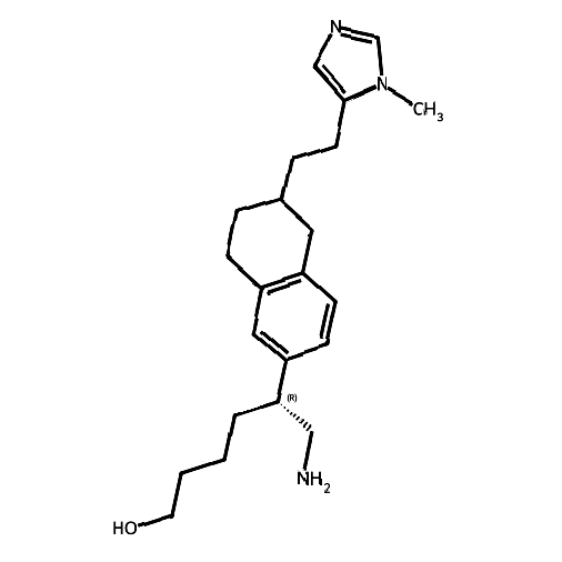 Cn1cncc1CCC1CCc2cc([C@H](CN)CCCCO)ccc2C1